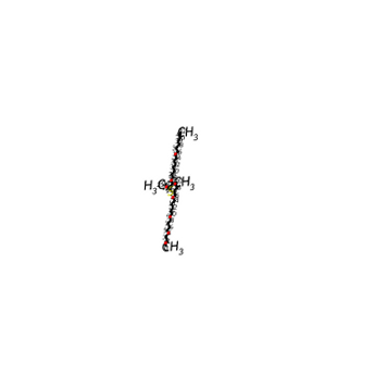 CCCCCCCCCCCCCCCCCC(CCC)SC(CCC)CCCCCCCCCCCCCCCCC